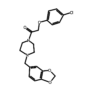 O=C(COc1ccc(Cl)cc1)N1CCN(Cc2ccc3c(c2)OCO3)CC1